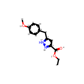 CCOC(=O)c1cc(Cc2ccc(OC)cc2)[nH]n1